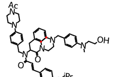 CC(=O)N1CCN(c2ccc(CN(C(=O)C=Cc3ccc(OC(C)C)cc3)C(Cc3ccccc3)C(=O)N3CCN(Cc4ccc(N(C)CCO)cc4)CC3)cc2)CC1